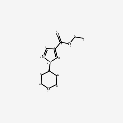 CCOC(=O)c1cnn(C2CCOCC2)c1